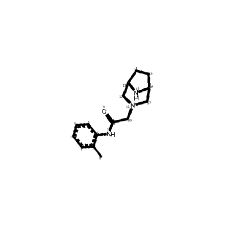 Cc1ccccc1NC(=O)CN1CC2CCC(C1)N2